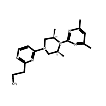 Cc1cc(C)nc(N2[C@H](C)CN(c3ccnc(CCO)n3)C[C@@H]2C)n1